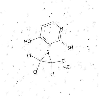 Cl.ClC1(Cl)SC1(Cl)Cl.Oc1ccnc(S)n1